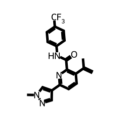 C=C(C)c1ccc(-c2cnn(C)c2)nc1C(=O)Nc1ccc(C(F)(F)F)cc1